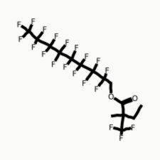 CCC(C)(C(=O)OCC(F)(F)C(F)(F)C(F)(F)C(F)(F)C(F)(F)C(F)(F)C(F)(F)C(F)(F)F)C(F)(F)F